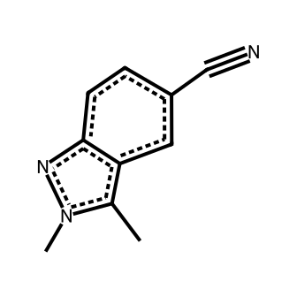 Cc1c2cc(C#N)ccc2nn1C